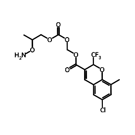 Cc1cc(Cl)cc2c1OC(C(F)(F)F)C(C(=O)OCOC(=O)OCC(C)ON)=C2